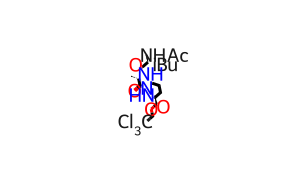 CC[C@H](C)[C@H](NC(C)=O)C(=O)N[C@@H](C)C(=O)N1CCC[C@@H](C(=O)OCC(Cl)(Cl)Cl)N1